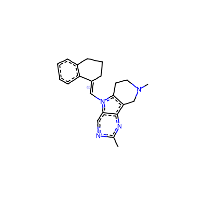 Cc1ncc2c(n1)c1c(n2/C=C2\CCCc3ccccc32)CCN(C)C1